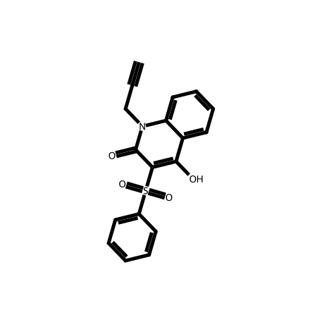 C#CCn1c(=O)c(S(=O)(=O)c2ccccc2)c(O)c2ccccc21